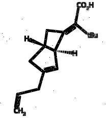 C=CCC1=C[C@@H]2C(=C(C(=O)O)C(C)(C)C)C[C@H]2C1